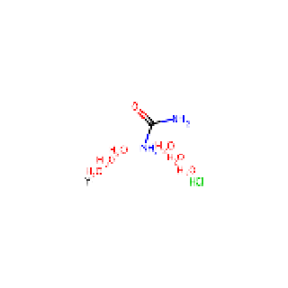 Cl.NC(N)=O.O.O.O.O.O.O.[Y]